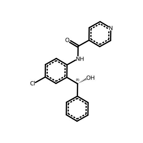 O=C(Nc1ccc(Cl)cc1[C@H](O)c1ccccc1)c1ccncc1